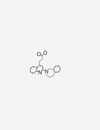 COC(=O)CCc1cc(N2CCCc3ccccc3C2)nc2ccccc12